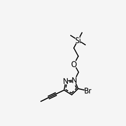 CC#Cc1cc(Br)n(COCC[Si](C)(C)C)n1